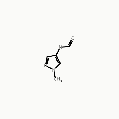 Cn1cc(NC=O)cn1